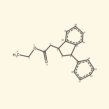 CCOC(=O)CC1CC(c2ccccc2)c2ccccc21